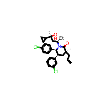 C=CC[C@@]1(C)C[C@H](c2cccc(Cl)c2)[C@@H](c2ccc(Cl)cc2)N([C@@H](CC)C[C@](C)(O)C2CC2)C1=O